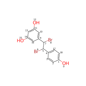 Oc1ccc(C(Br)C(Br)c2cc(O)cc(O)c2)cc1